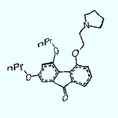 CCCOc1cc(OCCC)c2c(c1)C(=O)c1cccc(OCCN3CCCC3)c1-2